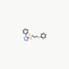 O=S(=O)(CCCOc1ccccc1)c1nnnn1-c1ccccc1